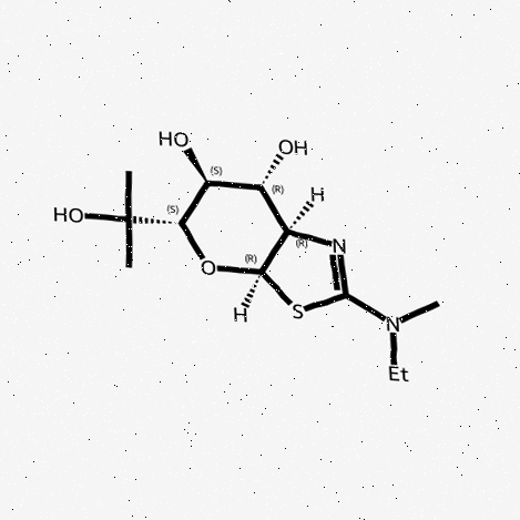 CCN(C)C1=N[C@@H]2[C@@H](O)[C@H](O)[C@@H](C(C)(C)O)O[C@@H]2S1